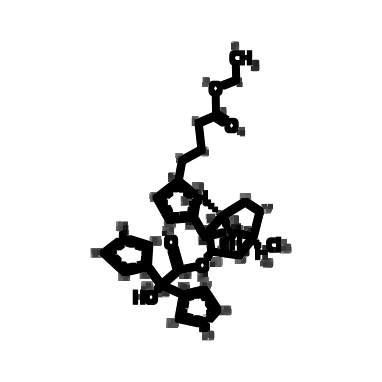 CCOC(=O)CCCc1ccc(C[N@+]2(C)[C@@H]3CC[C@H]2C[C@@H](OC(=O)C(O)(c2ccsc2)c2ccsc2)C3)s1.[Cl-]